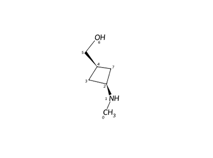 CN[C@H]1C[C@@H](CO)C1